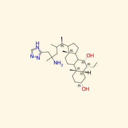 CC[C@H]1[C@@H](O)C2C3CCC([C@H](C)C(C)CC(C)(N)Cc4nnc[nH]4)[C@@]3(C)CCC2[C@@]2(C)CC[C@@H](O)C[C@@H]12